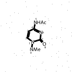 CNn1ccc(NC(C)=O)nc1=O